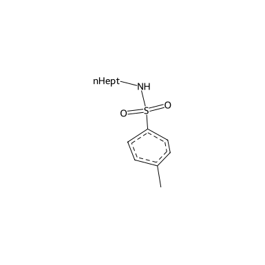 CCCCCCCNS(=O)(=O)c1ccc(C)cc1